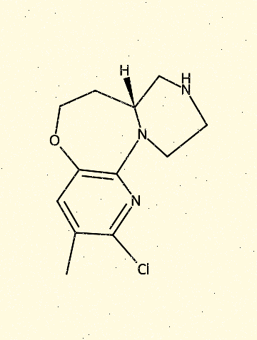 Cc1cc2c(nc1Cl)N1CCNC[C@H]1CCO2